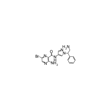 NCC(c1ccccc1)n1cc(NC(=O)c2nc(Br)cnc2N)cn1